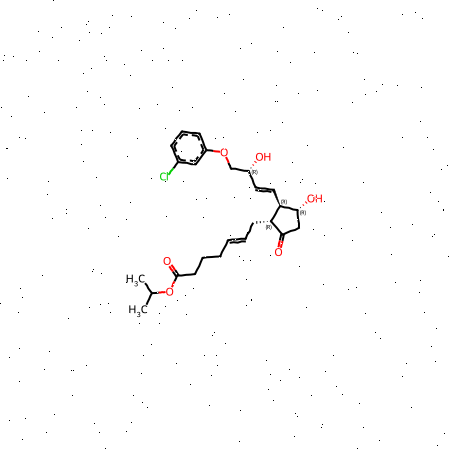 CC(C)OC(=O)CCCC=CC[C@H]1C(=O)C[C@@H](O)[C@@H]1C=C[C@@H](O)COc1cccc(Cl)c1